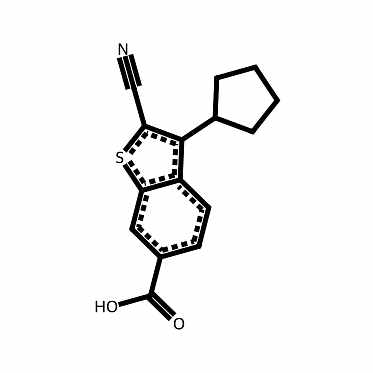 N#Cc1sc2cc(C(=O)O)ccc2c1C1CCCC1